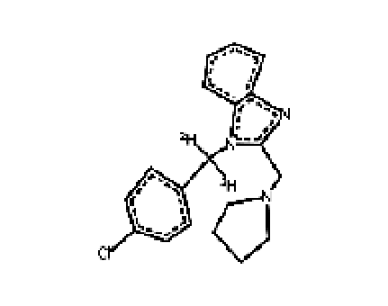 [2H]C([2H])(c1ccc(Cl)cc1)n1c(CN2CCCC2)nc2ccccc21